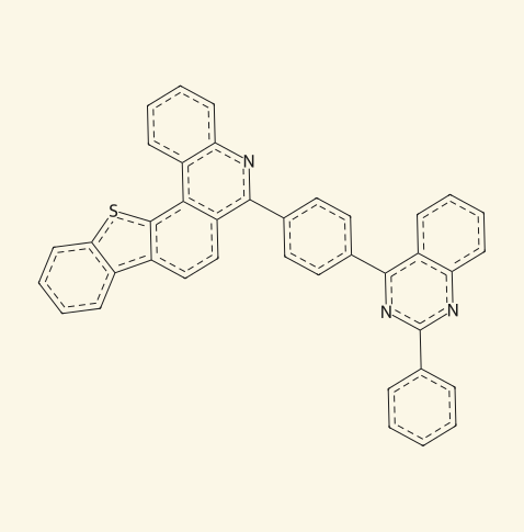 c1ccc(-c2nc(-c3ccc(-c4nc5ccccc5c5c4ccc4c6ccccc6sc45)cc3)c3ccccc3n2)cc1